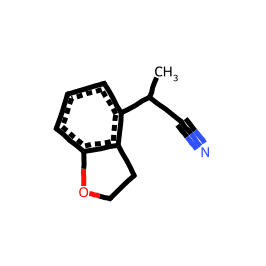 CC(C#N)c1cccc2c1CCO2